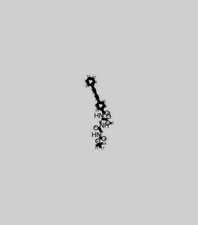 COC(=O)[C@H](CNC(=O)CNC(=O)OC(C)(C)C)NC(=O)c1ccc(C#CC#Cc2ccccc2)cc1